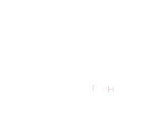 c1ccc(-c2ccc(P3CCP3)cc2)cc1